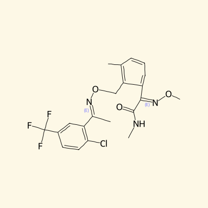 CNC(=O)/C(=N/OC)c1cccc(C)c1CO/N=C(\C)c1cc(C(F)(F)F)ccc1Cl